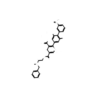 COC(=O)C1=C(c2cc(C)c(-c3cccc([N+](=O)[O-])c3)c(C)c2)NC=C(C(=O)OCCN(C)Cc2ccccc2)C1.Cl